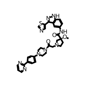 CO[C@@]1(C(=O)Nc2ccc3[nH]nc(-c4cncs4)c3c2)CCN(CC(=O)N2CCN(c3ccc(-c4ncccn4)cc3)CC2)C1